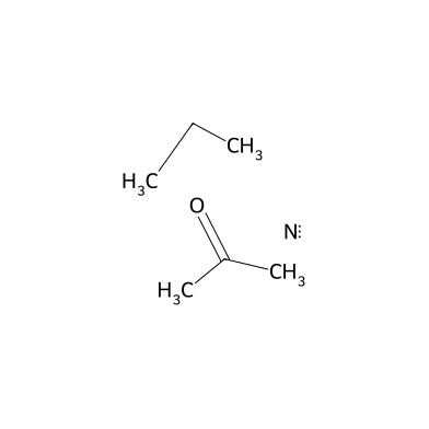 CC(C)=O.CCC.[N]